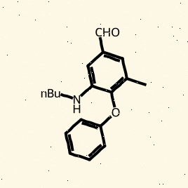 CCCCNc1cc(C=O)cc(C)c1Oc1ccccc1